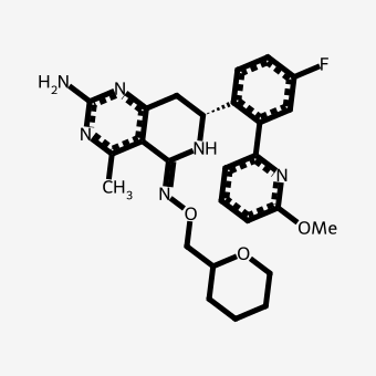 COc1cccc(-c2cc(F)ccc2[C@H]2Cc3nc(N)nc(C)c3/C(=N/OCC3CCCCO3)N2)n1